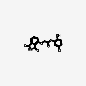 O=C(COc1cccc2c1C(=O)NC2=O)[N]c1cc(Cl)ccc1O